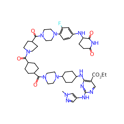 CCOC(=O)c1cnc(Nc2cnn(C)c2)nc1NC1CCC(N2CCN(C(=O)C3CCC(C(=O)N4CCC(C(=O)N5CCN(c6ccc(NC7CCC(=O)NC7=O)cc6F)CC5)CC4)CC3)CC2)CC1